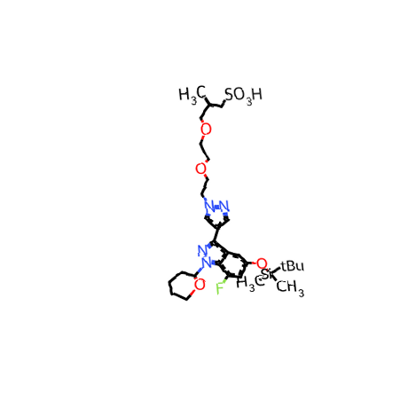 CC(COCCOCCn1cc(-c2nn(C3CCCCO3)c3c(F)cc(O[Si](C)(C)C(C)(C)C)cc23)cn1)CS(=O)(=O)O